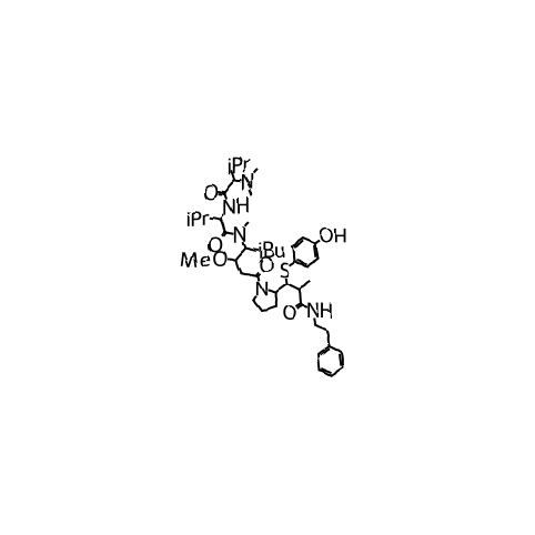 CCC(C)C(C(CC(=O)N1CCCC1C(Sc1ccc(O)cc1)C(C)C(=O)NCCc1ccccc1)OC)N(C)C(=O)C(NC(=O)C(C(C)C)N(C)C)C(C)C